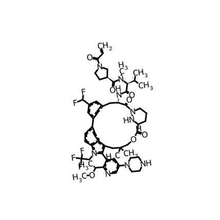 C=CC(=O)N1CC[C@H](C(=O)N(C)[C@H](C(=O)N[C@H]2Cc3cc(cc(C(F)F)c3)-c3ccc4c(c3)c(c(-c3cc(N5CCNCC5)cnc3[C@H](C)OC)n4CC(F)(F)F)CC(C)(C)COC(=O)[C@@H]3CCCN(N3)C2=O)C(C)C)C1